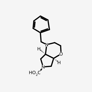 O=C(O)N1C[C@@H]2OCCN(Cc3ccccc3)[C@@H]2C1